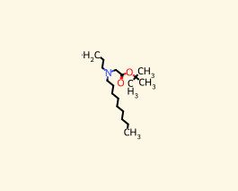 [CH2]CCN(CCCCCCCCC)CC(=O)OC(C)(C)C